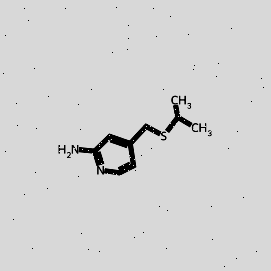 CC(C)SCc1ccnc(N)c1